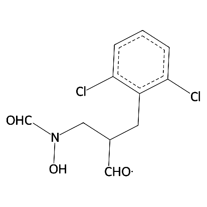 O=[C]C(Cc1c(Cl)cccc1Cl)CN(O)C=O